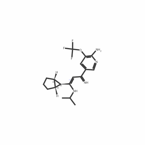 CC(C)N/C(=C\C(=N)c1cnc(N)c(OC(F)(F)F)c1)[C@H]1[C@@H]2CCC[C@@H]21